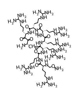 C[C@H](N)C(=O)C(=O)[C@H](CCCNC(N)N)NC(=O)[C@H](CCCNC(N)N)NC(=O)[C@H](CCCNC(N)N)NC(=O)[C@H](CCCNC(N)N)NC(=O)[C@H](CCCNC(N)N)NC(=O)[C@H](CCCNC(N)N)NC(=O)[C@H](CCCNC(N)N)NCON